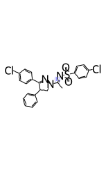 C/C(=N\S(=O)(=O)c1ccc(Cl)cc1)N1CC(c2ccccc2)C(c2ccc(Cl)cc2)=N1